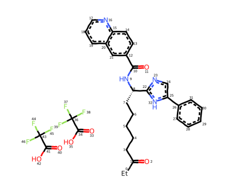 CCC(=O)CCCCC[C@H](NC(=O)c1ccc2ncccc2c1)c1ncc(-c2ccccc2)[nH]1.O=C(O)C(F)(F)F.O=C(O)C(F)(F)F